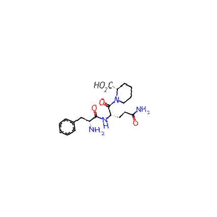 NC(=O)CC[C@H](NC(=O)[C@H](N)Cc1ccccc1)C(=O)N1CCCC[C@H]1C(=O)O